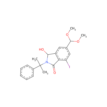 COC(OC)c1cc(I)c2c(c1)C(O)N(C(C)(C)c1ccccc1)C2=O